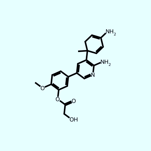 COc1ccc(-c2cnc(N)c(C3(C)C=CC(N)=CC3)c2)cc1OC(=O)CO